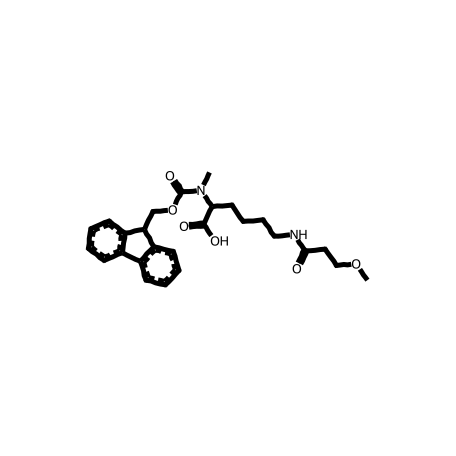 COCCC(=O)NCCCCC(C(=O)O)N(C)C(=O)OCC1c2ccccc2-c2ccccc21